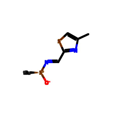 Cc1csc(C=N[S@+]([O-])C(C)(C)C)n1